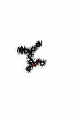 c1ccc(-n2ccc3c4c5cc(-c6ccc(N(c7ccc(-c8ccncc8)cc7)c7ccc(-c8ncncn8)cc7)cc6)ccc5n(-c5ccccc5)c4ccc32)cc1